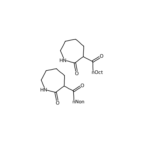 CCCCCCCCC(=O)C1CCCCNC1=O.CCCCCCCCCC(=O)C1CCCCNC1=O